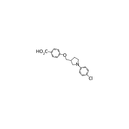 O=C(O)c1ccc(OCC2CCN(c3ccc(Cl)cc3)C2)cc1